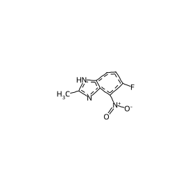 Cc1nc2c([N+](=O)[O-])c(F)ccc2[nH]1